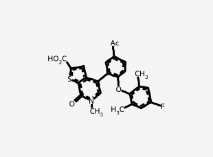 CC(=O)c1ccc(Oc2c(C)cc(F)cc2C)c(-c2cn(C)c(=O)c3sc(C(=O)O)cc23)c1